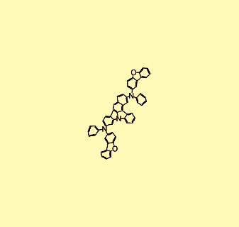 c1ccc(N(c2ccc3oc4ccccc4c3c2)c2ccc3cc4c5ccc(N(c6ccccc6)c6ccc7oc8ccccc8c7c6)cc5n5c6ccccc6c(c3c2)c45)cc1